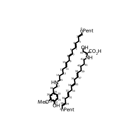 CCCCCC=CCC=CCC=CCC=CCCCCNCCc1ccc(O)c(OC)c1.CCCCCC=CCC=CCC=CCC=CCCCCN[C@@H](CO)C(=O)O